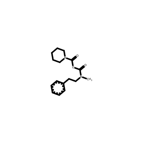 CN(CCc1ccccc1)C(=O)OC(=O)N1CCCCC1